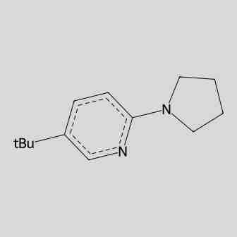 CC(C)(C)c1ccc(N2CCCC2)nc1